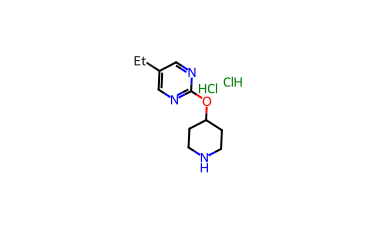 CCc1cnc(OC2CCNCC2)nc1.Cl.Cl